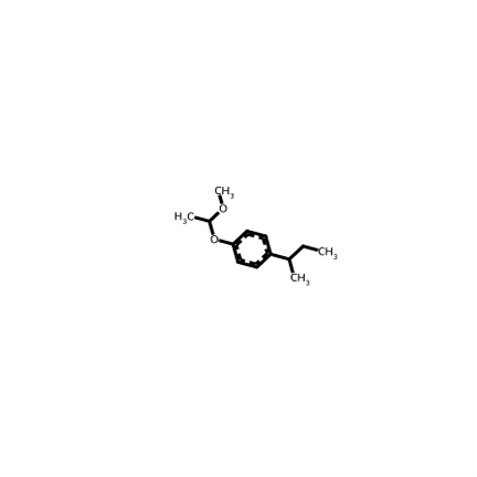 CCC(C)c1ccc(OC(C)OC)cc1